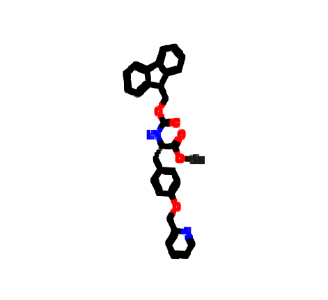 CC(C)(C)OC(=O)[C@H](Cc1ccc(OCc2ccccn2)cc1)NC(=O)OCC1c2ccccc2-c2ccccc21